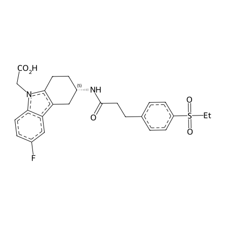 CCS(=O)(=O)c1ccc(CCC(=O)N[C@H]2CCc3c(c4cc(F)ccc4n3CC(=O)O)C2)cc1